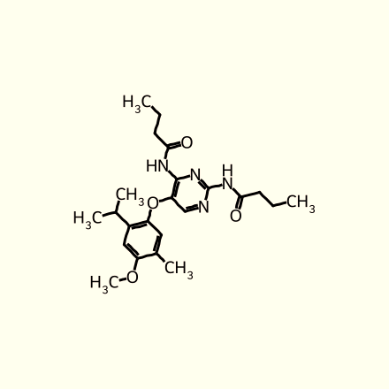 CCCC(=O)Nc1ncc(Oc2cc(C)c(OC)cc2C(C)C)c(NC(=O)CCC)n1